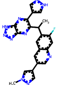 CC(c1cc2cc(-c3cnn(C)c3)cnc2cc1F)c1nc2nn[nH]c2nc1-c1cn[nH]c1